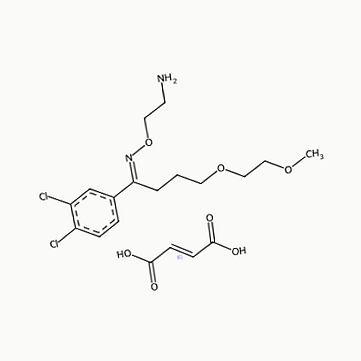 COCCOCCCC(=NOCCN)c1ccc(Cl)c(Cl)c1.O=C(O)/C=C/C(=O)O